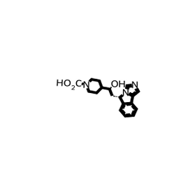 O=C(O)N1CCC([C@H](O)C[C@H]2c3ccccc3-c3cncn32)CC1